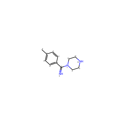 Cc1ccc(C(=N)N2CCNCC2)cc1